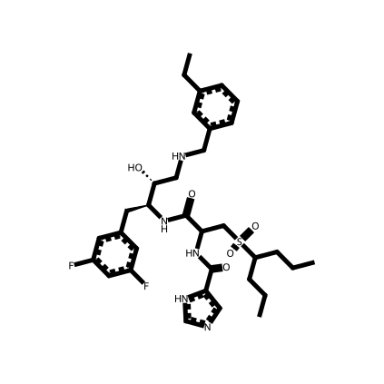 CCCC(CCC)S(=O)(=O)CC(NC(=O)c1cnc[nH]1)C(=O)N[C@@H](Cc1cc(F)cc(F)c1)[C@H](O)CNCc1cccc(CC)c1